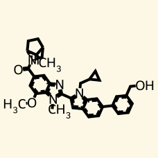 COc1cc(C(=O)N2CC3CCC2[C@@H]3C)cc2nc(-c3cc4ccc(-c5cccc(CO)c5)cc4n3CC3CC3)n(C)c12